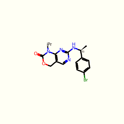 CC(C)N1C(=O)OCc2cnc(N[C@@H](C)c3ccc(Br)cc3)nc21